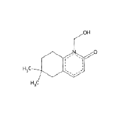 CC1(C)CCc2c(ccc(=O)n2CO)C1